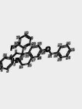 Fc1ccc(CC2(c3ccccc3F)NCCc3cc(OCc4ccccc4)ccc32)cc1